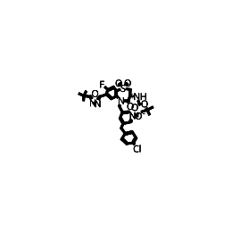 CC(C)(C)OC(=O)N[C@H]1CS(=O)(=O)c2cc(F)c(-c3nnc(C(C)(C)C)o3)cc2N(Cc2cc(Cc3ccc(Cl)cc3)c[n+]([O-])c2)C1=O